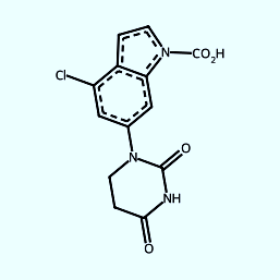 O=C1CCN(c2cc(Cl)c3ccn(C(=O)O)c3c2)C(=O)N1